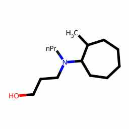 CCCN(CCCO)C1CCCCCC1C